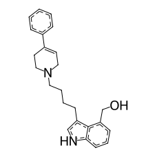 OCc1cccc2[nH]cc(CCCCN3CC=C(c4ccccc4)CC3)c12